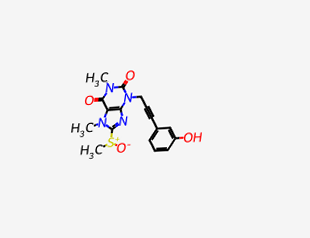 Cn1c(=O)c2c(nc([S+](C)[O-])n2C)n(CC#Cc2cccc(O)c2)c1=O